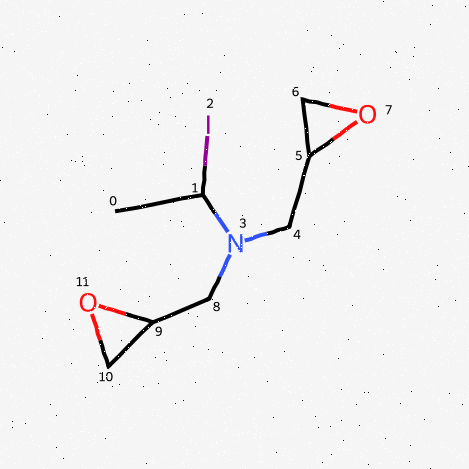 CC(I)N(CC1CO1)CC1CO1